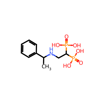 CC(NCC(P(=O)(O)O)P(=O)(O)O)c1ccccc1